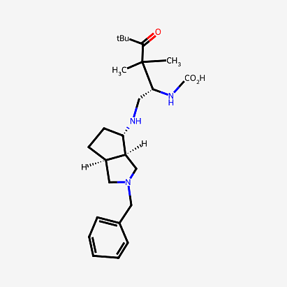 CC(C)(C)C(=O)C(C)(C)[C@@H](CN[C@H]1CC[C@@H]2CN(Cc3ccccc3)C[C@@H]21)NC(=O)O